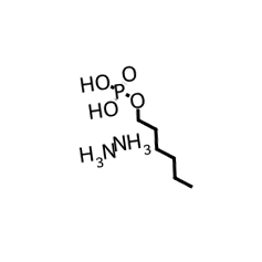 CCCCCCOP(=O)(O)O.N.N